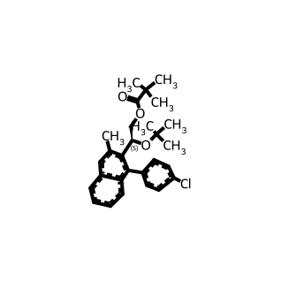 Cc1cc2ccccc2c(-c2ccc(Cl)cc2)c1[C@@H](COC(=O)C(C)(C)C)OC(C)(C)C